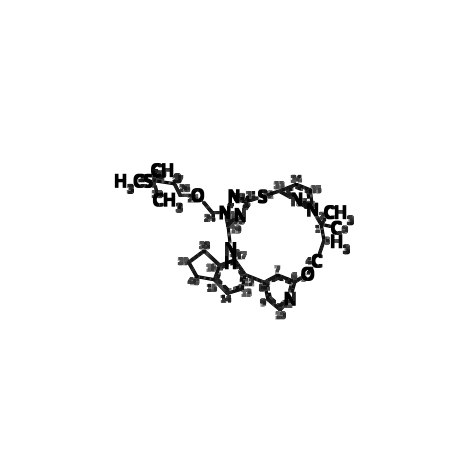 CC1(C)CCOc2cc(ccn2)-c2ccc3c(c2Nc2nc(nn2COCC[Si](C)(C)C)Sc2ccn1n2)CCC3